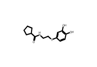 O=C(NCCSc1ccc(O)c(O)c1)C1CCCC1